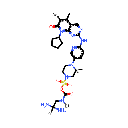 CCN(CC(N)(N)C(C)C)C(=O)OS(=O)(=O)N1CCN(c2ccc(Nc3ncc4c(C)c(C(C)=O)c(=O)n(C5CCCC5)c4n3)nc2)[C@@H](C)C1